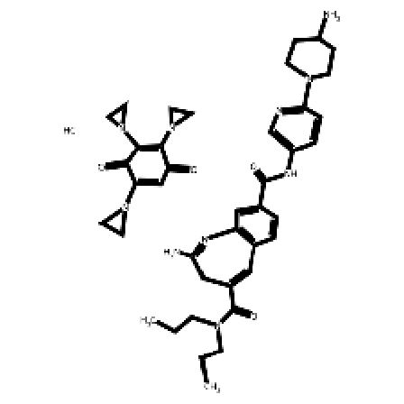 CCCN(CCC)C(=O)C1=Cc2ccc(C(=O)Nc3ccc(N4CCC(N)CC4)nc3)cc2N=C(N)C1.Cl.O=C1C=C(N2CC2)C(=O)C(N2CC2)=C1N1CC1